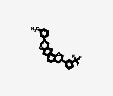 Cc1cccc(N2COc3cc4ccc5c(c4cc3C2)OCN(c2cccc(C(F)(F)F)c2)C5)c1